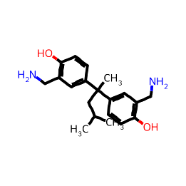 CC(C)CC(C)(c1ccc(O)c(CN)c1)c1ccc(O)c(CN)c1